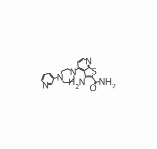 NC(=O)c1sc2nccc(N3CCCN(c4cccnc4)CC3)c2c1N